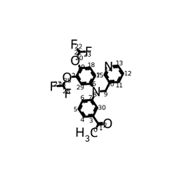 CC(=O)c1cccc(N(Cc2cccnc2)c2ccc(OC(F)F)c(OC(F)F)c2)c1